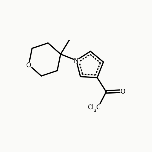 CC1(n2ccc(C(=O)C(Cl)(Cl)Cl)c2)CCOCC1